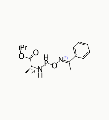 C/C(=N\OPN[C@@H](C)C(=O)OC(C)C)c1ccccc1